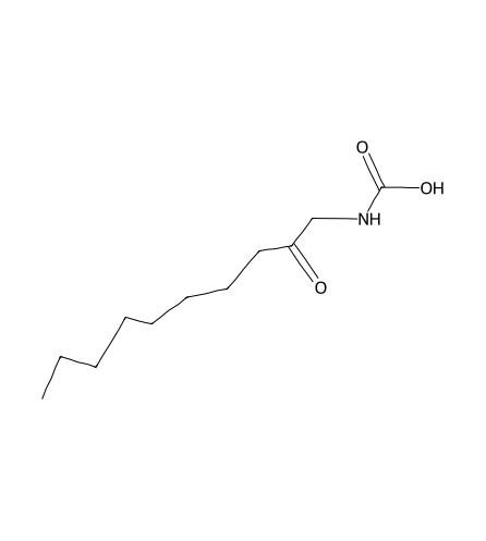 CCCCCCCCC(=O)CNC(=O)O